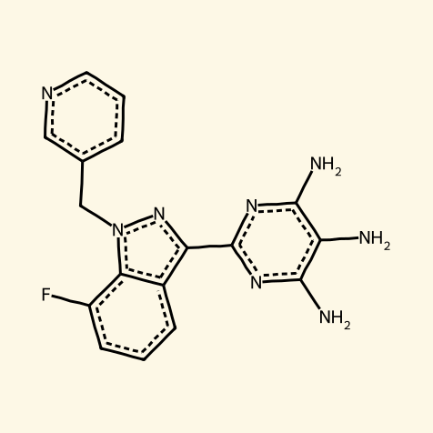 Nc1nc(-c2nn(Cc3cccnc3)c3c(F)cccc23)nc(N)c1N